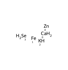 [CaH2].[Fe].[KH].[SeH2].[Zn]